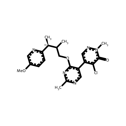 COc1ccc([C@@H](C)C(C)COc2nc(C)ncc2-c2cnn(C)c(=O)c2Cl)nc1